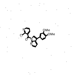 COc1ccc(-c2cn(C(=O)c3cccnc3Cl)c3ncccc23)cc1OC